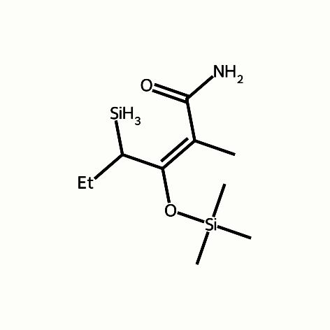 CCC([SiH3])C(O[Si](C)(C)C)=C(C)C(N)=O